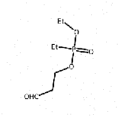 CCOP(=O)(CC)OCCC=O